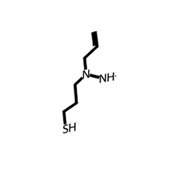 C=CCN([NH])CCCS